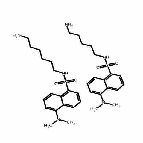 CN(C)c1cccc2c(S(=O)(=O)NCCCCCCN)cccc12.CN(C)c1cccc2c(S(=O)(=O)NCCCCCN)cccc12